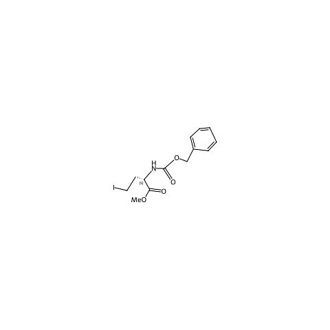 COC(=O)[C@H](CCI)NC(=O)OCc1ccccc1